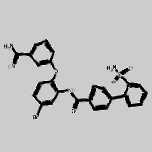 N=C(N)c1cccc(Oc2ccc(Br)cc2NC(=O)c2ccc(-c3ccccc3S(N)(=O)=O)cc2)c1